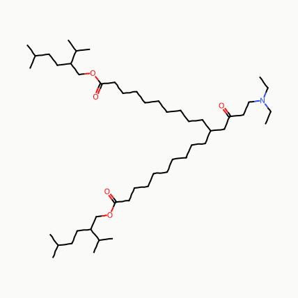 CCN(CC)CCC(=O)CC(CCCCCCCCCC(=O)OCC(CCC(C)C)C(C)C)CCCCCCCCCC(=O)OCC(CCC(C)C)C(C)C